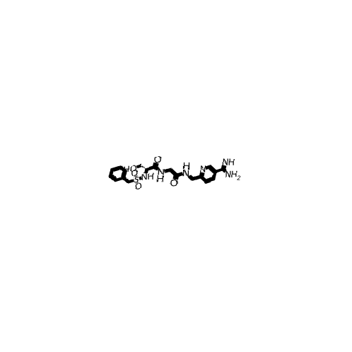 N=C(N)c1ccc(CNC(=O)CNC(=O)[C@@H](CO)NS(=O)(=O)Cc2ccccc2)nc1